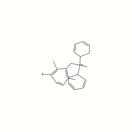 Cc1ccc(F)c(C)c1C[PH](C)(C1C=CC=CC1)C1C=CC=CC1